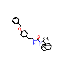 CC(NC(=O)NCCc1ccc(OCc2ccccc2)cc1)C12CC3CC(CC(C3)C1)C2